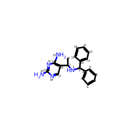 CC(NC(c1ccccc1)c1ccccc1)c1cnc(N)nc1N